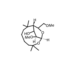 COCC1O[C@H]2OC(C)(C)CCCCC(C)(C)[C@H]1C(O)[C@@H]2OC